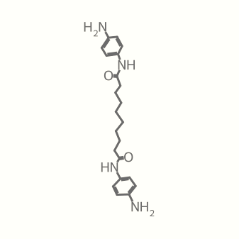 Nc1ccc(NC(=O)CCCCCCCCC(=O)Nc2ccc(N)cc2)cc1